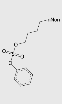 CCCCCCCCCCCCCOS(=O)(=O)Oc1ccccc1